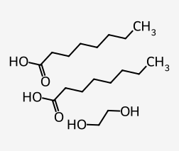 CCCCCCCC(=O)O.CCCCCCCC(=O)O.OCCO